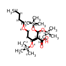 C[Si](C)(C)OC(CCOCCC[SiH3])=C(C(=O)O)C(O[Si](C)(C)C)O[Si](C)(C)C